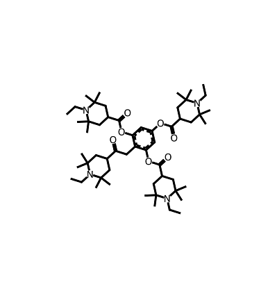 CCN1C(C)(C)CC(C(=O)Cc2c(OC(=O)C3CC(C)(C)N(CC)C(C)(C)C3)cc(OC(=O)C3CC(C)(C)N(CC)C(C)(C)C3)cc2OC(=O)C2CC(C)(C)N(CC)C(C)(C)C2)CC1(C)C